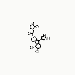 CN1CCC(CC(=O)N2CCn3c(c(-c4cn[nH]c4)c4ccc(Cl)c(Cl)c43)C2)C1=O